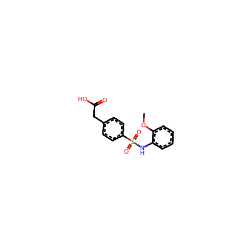 COc1ccccc1NS(=O)(=O)c1ccc(CC(=O)O)cc1